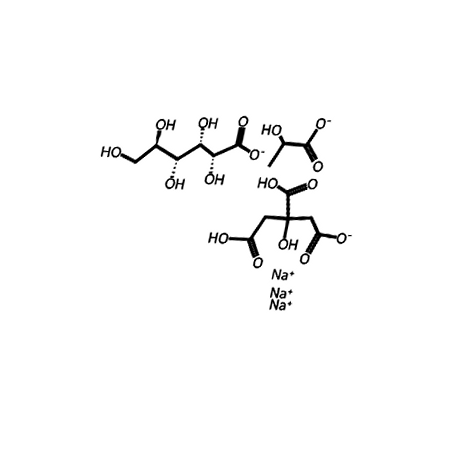 CC(O)C(=O)[O-].O=C([O-])CC(O)(CC(=O)O)C(=O)O.O=C([O-])[C@H](O)[C@@H](O)[C@H](O)[C@H](O)CO.[Na+].[Na+].[Na+]